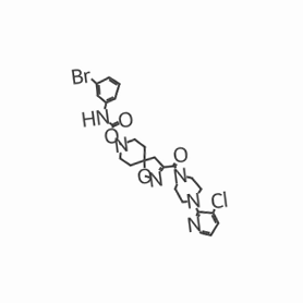 O=C(Nc1cccc(Br)c1)ON1CCC2(CC1)CC(C(=O)N1CCN(c3ncccc3Cl)CC1)=NO2